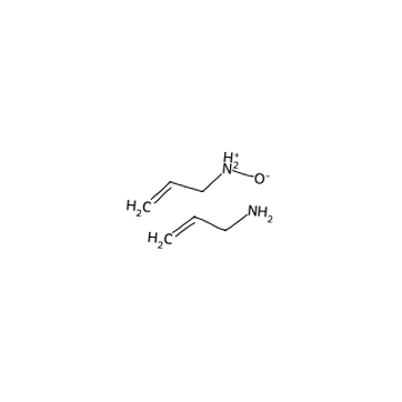 C=CCN.C=CC[NH2+][O-]